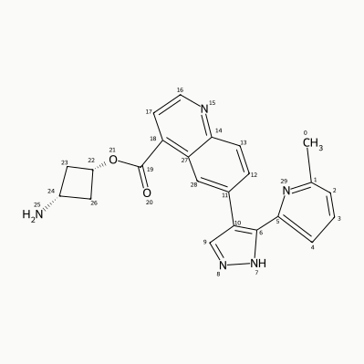 Cc1cccc(-c2[nH]ncc2-c2ccc3nccc(C(=O)O[C@H]4C[C@@H](N)C4)c3c2)n1